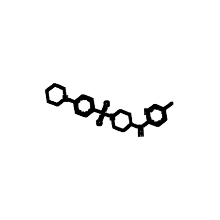 Cc1ccc(NC2CCN(S(=O)(=O)c3ccc(N4CCCCC4)cc3)CC2)nc1